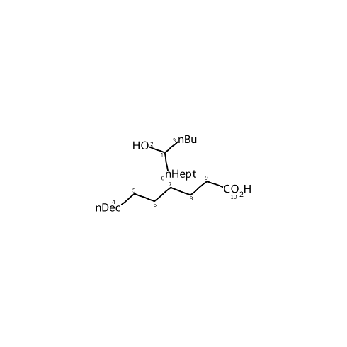 CCCCCCCC(O)CCCC.CCCCCCCCCCCCCCCC(=O)O